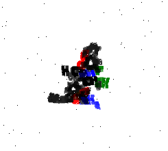 CCCOc1ccc(F)cc1OC(C)NC(C)Cc1ccc(OC)c(S(N)(=O)=O)c1.Cl